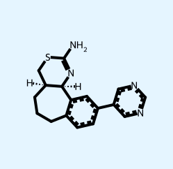 NC1=N[C@H]2c3cc(-c4cncnc4)ccc3CCC[C@H]2CS1